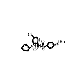 CC(C)(C)Oc1ccc(S(=O)(=O)Nc2ncc(Cl)cc2[S+]([O-])c2ccccc2)cc1